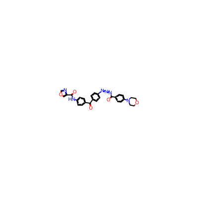 O=C(N=[N+]=Nc1ccc(C(=O)c2ccc(NC(=O)c3cocn3)cc2)cc1)c1ccc(N2CCOCC2)cc1